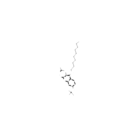 CCCCCCCCCCOc1c(OC(C)=O)c(=O)oc2cc(OC(C)(C)C)ccc12